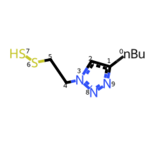 CCCCc1cn(CCSS)nn1